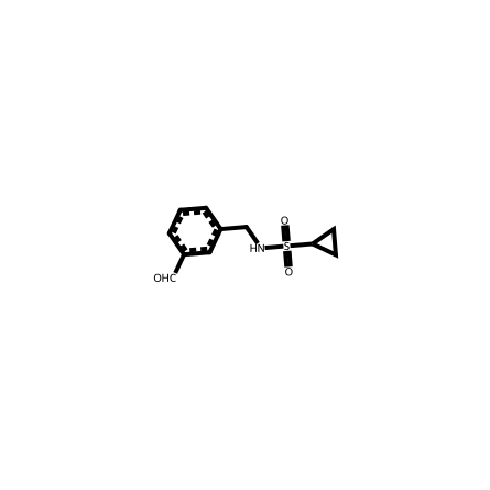 O=Cc1cccc(CNS(=O)(=O)C2CC2)c1